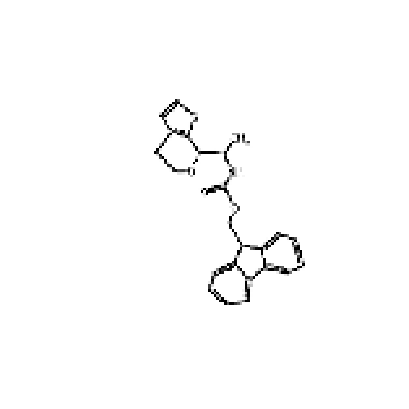 C[C@@H](NC(=O)OCC1c2ccccc2-c2ccccc21)[C@@H]1OCCc2ccsc21